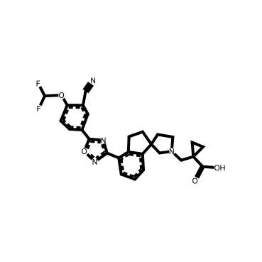 N#Cc1cc(-c2nc(-c3cccc4c3CCC43CCN(CC4(C(=O)O)CC4)C3)no2)ccc1OC(F)F